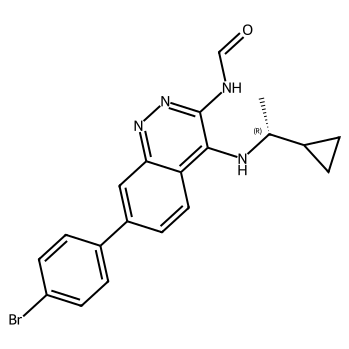 C[C@@H](Nc1c(NC=O)nnc2cc(-c3ccc(Br)cc3)ccc12)C1CC1